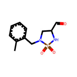 Cc1ccccc1CN1CC(C=O)NS1(=O)=O